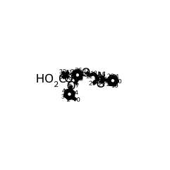 Cc1cccc(OCc2cc(OCCc3nc(-c4ccccc4)oc3C)ccc2OC(C)(C)C(=O)O)c1